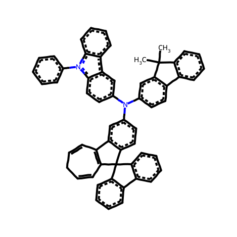 CC1(C)c2ccccc2-c2ccc(N(c3ccc4c(c3)C3=C(C=CCC=C3)C43c4ccccc4-c4ccccc43)c3ccc4c(c3)c3ccccc3n4-c3ccccc3)cc21